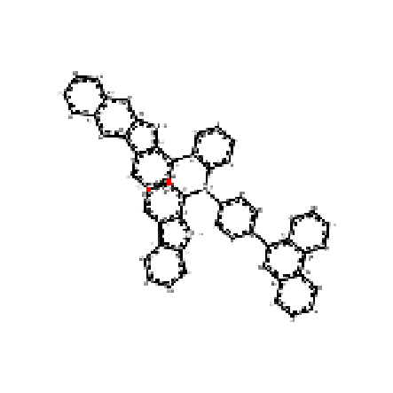 c1ccc(N(c2ccc(-c3cc4ccccc4c4ccccc34)cc2)c2cccc3c2sc2ccccc23)c(-c2cccc3c2oc2cc4ccccc4cc23)c1